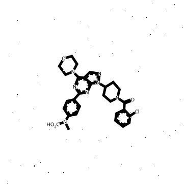 CN(C(=O)O)c1ccc(-c2nc(N3CCOCC3)c3cnn(C4CCN(C(=O)c5ccccc5Cl)CC4)c3n2)cc1